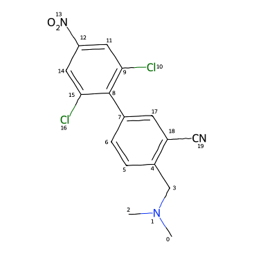 CN(C)Cc1ccc(-c2c(Cl)cc([N+](=O)[O-])cc2Cl)cc1C#N